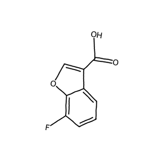 O=C(O)c1coc2c(F)cccc12